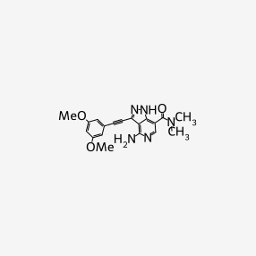 COc1cc(C#Cc2n[nH]c3c(C(=O)N(C)C)cnc(N)c23)cc(OC)c1